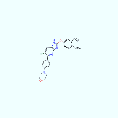 COc1ccc(Oc2nc3nc(-c4ccc(N5CCOCC5)cc4)c(Cl)cc3[nH]2)cc1C(=O)O